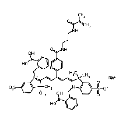 C=C(C)C(=O)NCCCNC(=O)c1ccc(C(=C\C=C2/N(Cc3ccccc3B(O)O)c3ccc(S(=O)(=O)[O-])cc3C2(C)C)/C=C/C2=[N+](Cc3ccccc3B(O)O)c3cc(S(=O)(=O)O)ccc3C2(C)C)nc1.[Br-].[Na+]